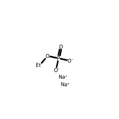 CCOP(=O)([O-])[O-].[Na+].[Na+]